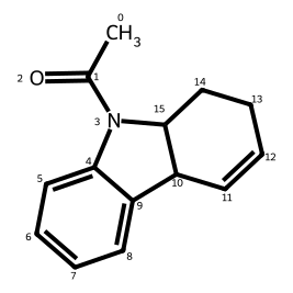 CC(=O)N1c2ccccc2C2C=CCCC21